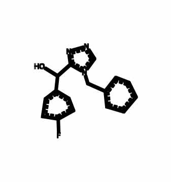 OC(c1ccc(F)cc1)c1nncn1Cc1ccccc1